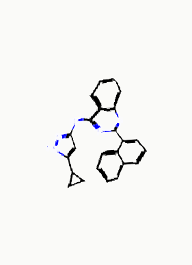 c1ccc2c(-c3nc(Nc4cc(C5CC5)[nH]n4)c4ccccc4n3)cccc2c1